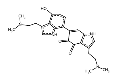 CN(C)CCc1c[nH]c2c1C(=O)C(=O)C(c1ccc(O)c3c(CCN(C)C)c[nH]c13)=C2